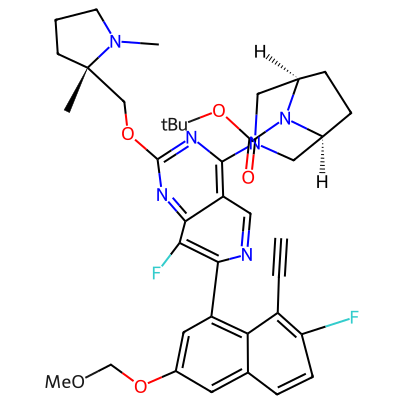 C#Cc1c(F)ccc2cc(OCOC)cc(-c3ncc4c(N5C[C@H]6CC[C@@H](C5)N6C(=O)OC(C)(C)C)nc(OC[C@]5(C)CCCN5C)nc4c3F)c12